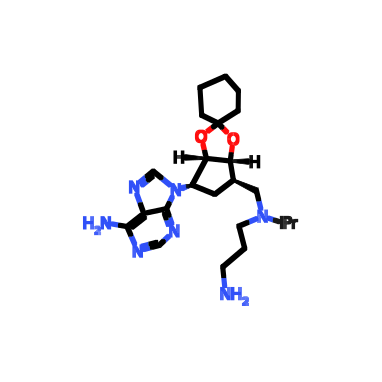 CC(C)N(CCCN)C[C@H]1C[C@@H](n2cnc3c(N)ncnc32)[C@@H]2OC3(CCCCC3)O[C@H]12